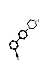 N#Cc1cccc(-c2ccc(N3CCNCC3)cc2)c1